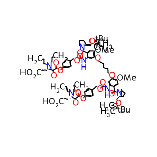 C=CCN(CC=C)[C@@H](CCC(=O)O)C(=O)C(=O)Oc1ccc(COC(=O)Nc2cc(OCCCCCOc3cc(NC(=O)OCc4ccc(OC(=O)C(=O)[C@H](CCC(=O)O)N(CC=C)CC=C)cc4)c(C(=O)N4CCC[C@H]4CO[Si](C)(C)C(C)(C)C)cc3OC)c(OC)cc2C(=O)N2CCCC2CO[Si](C)(C)C(C)(C)C)cc1